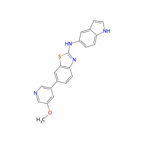 COc1cncc(-c2ccc3nc(Nc4ccc5[nH]ccc5c4)sc3c2)c1